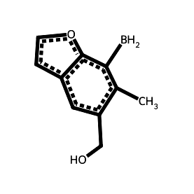 Bc1c(C)c(CO)cc2ccoc12